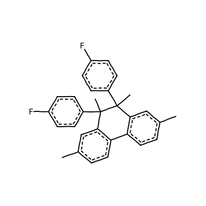 Cc1ccc2c(c1)C(C)(c1ccc(F)cc1)C(C)(c1ccc(F)cc1)c1cc(C)ccc1-2